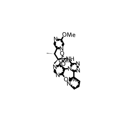 COc1cnc([C@@H](C)[C@H](C)S(=O)(=O)Nc2nnc(-c3cccnc3)n2-c2c(OC)ncnc2OC)cn1